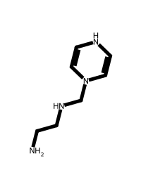 NCCNCN1C=CNC=C1